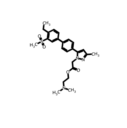 CCc1ccc(-c2ccc(-c3cc(C)nn3CC(=O)OCCN(C)C)cc2)cc1S(C)(=O)=O